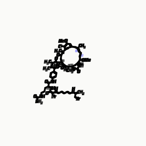 C=C(CBr)NCCCCCN[C@H](C(=O)N[C@@H](CCCNC(N)=O)C(=O)Nc1ccc(C(=O)N(C)[C@@H](C)C(=O)O[C@H]2CC(=O)N(C)c3cc(cc(OC)c3Cl)C/C(C)=C/C=C/[C@@H](OC)[C@@]3(O)C[C@H](OC(=O)N3)[C@@H](C)[C@@H]3O[C@@]23C)cc1)C(C)C